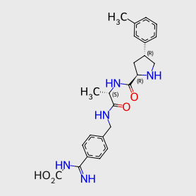 Cc1cccc([C@@H]2CN[C@@H](C(=O)N[C@@H](C)C(=O)NCc3ccc(C(=N)NC(=O)O)cc3)C2)c1